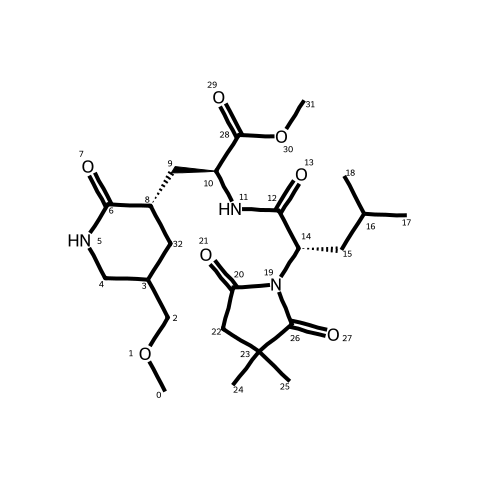 COCC1CNC(=O)[C@H](C[C@H](NC(=O)[C@H](CC(C)C)N2C(=O)CC(C)(C)C2=O)C(=O)OC)C1